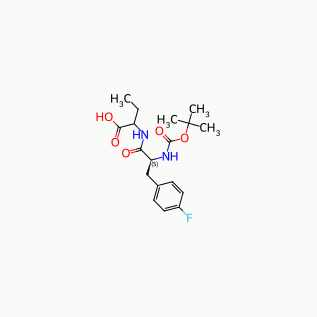 CCC(NC(=O)[C@H](Cc1ccc(F)cc1)NC(=O)OC(C)(C)C)C(=O)O